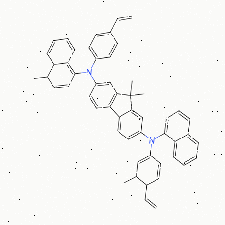 C=Cc1ccc(N(C2=C3C=CC=CC3C(C)C=C2)c2ccc3c(c2)C(C)(C)c2cc(N(C4=CC(C)C(C=C)C=C4)c4cccc5ccccc45)ccc2-3)cc1